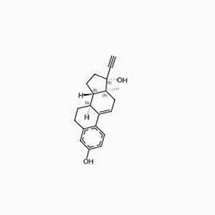 C#C[C@]1(O)CC[C@H]2[C@@H]3CCc4cc(O)ccc4C3=CC[C@@]21C